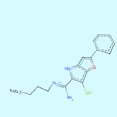 CCOC(=O)CCC/N=C(\N)c1[nH]c2cc(-c3ccccc3)oc2c1S